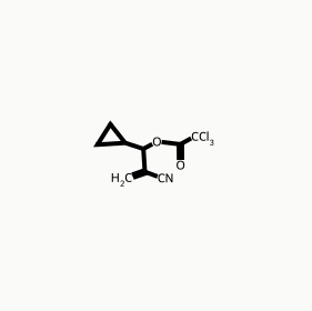 C=C(C#N)C(OC(=O)C(Cl)(Cl)Cl)C1CC1